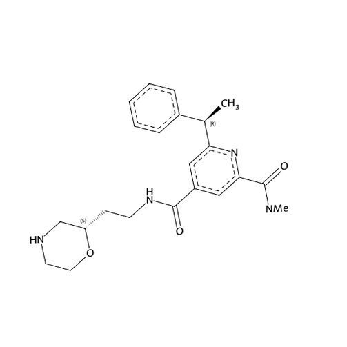 CNC(=O)c1cc(C(=O)NCC[C@H]2CNCCO2)cc([C@H](C)c2ccccc2)n1